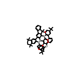 CC(C)(C)c1ccc(N2B3c4c(cc5c(c4N(c4ccc(C(C)(C)C)cc4-c4ccccc4)c4ccc6oc7ccccc7c6c43)C(C)(C)c3ccccc3-5)-c3cc4c(cc32)C(C)(C)CCC4(C)C)cc1